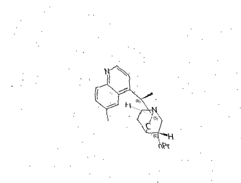 CCC[C@H]1CN2CCC1C[C@H]2[C@H](C)c1ccnc2ccc(C)cc12